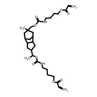 C=CC(=O)OCCCCNC(=O)OCC1(C)CC2CC(C1)C1CC(C(C)OC(=O)NCCCCOC(=O)C=C)CC21